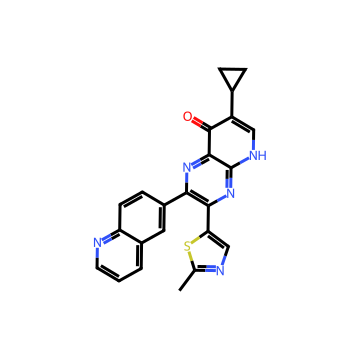 Cc1ncc(-c2nc3[nH]cc(C4CC4)c(=O)c3nc2-c2ccc3ncccc3c2)s1